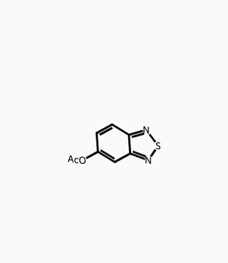 CC(=O)Oc1ccc2nsnc2c1